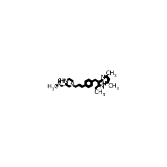 CCc1nn2c(C)cc(C)nc2c1Cc1ccc(C=CCN2CCN[C@@H](CN(C)C)C2)cc1